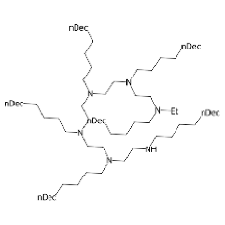 CCCCCCCCCCCCCCNCCN(CCCCCCCCCCCCCC)CCN(CCCCCCCCCCCCCC)CCN(CCCCCCCCCCCCCC)CCN(CCCCCCCCCCCCCC)CCN(CC)CCCCCCCCCCCCCC